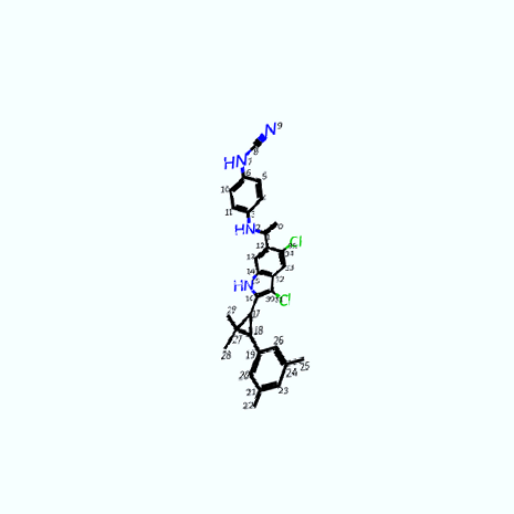 C=C(Nc1ccc(NC#N)cc1)c1cc2[nH]c(C3C(c4cc(C)cc(C)c4)C3(C)C)c(Cl)c2cc1Cl